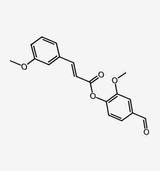 COc1cccc(/C=C/C(=O)Oc2ccc(C=O)cc2OC)c1